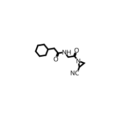 N#CC1CN1C(=O)CNC(=O)CC1CCCCC1